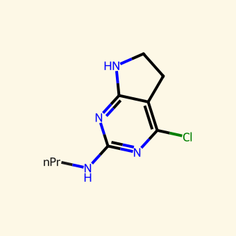 CCCNc1nc(Cl)c2c(n1)NCC2